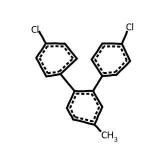 Cc1ccc(-c2ccc(Cl)cc2)c(-c2ccc(Cl)cc2)c1